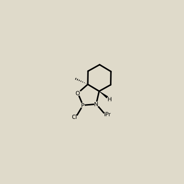 CC(C)N1[C@H]2CCCC[C@]2(C)OP1Cl